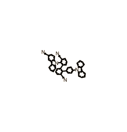 N#Cc1ccc2c(c1)c1ccccc1n2-c1c(C#N)cccc1-c1cccc(C#N)c1-c1ccc(-n2c3ccccc3c3ccccc32)cc1